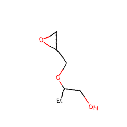 CCC(CO)OCC1CO1